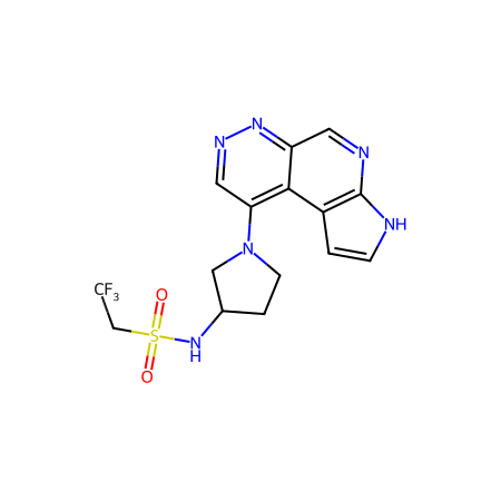 O=S(=O)(CC(F)(F)F)NC1CCN(c2cnnc3cnc4[nH]ccc4c23)C1